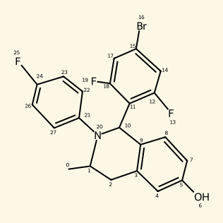 CC1Cc2cc(O)ccc2C(c2c(F)cc(Br)cc2F)N1c1ccc(F)cc1